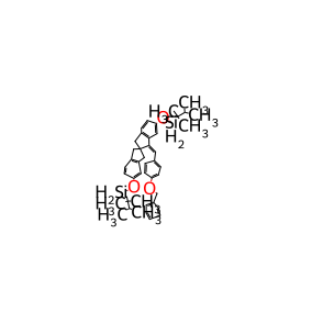 CC(C)C(C)(C)[SiH2]Oc1ccc2c(c1)CC1(C2)Cc2ccc(O[SiH2]C(C)(C)C(C)C)cc2/C1=C/c1ccc(OCc2ccccc2)cc1